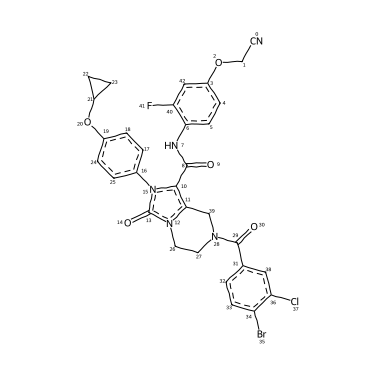 N#CCOc1ccc(NC(=O)c2c3n(c(=O)n2-c2ccc(OC4CC4)cc2)CCN(C(=O)c2ccc(Br)c(Cl)c2)C3)c(F)c1